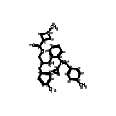 Cc1ccc(CC(COC(=O)C2CN(C)C2)Nc2ccccc2N(Cc2ccc(C)cc2)C2CC2)cc1